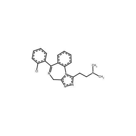 CN(C)CCc1nnc2n1-c1ccccc1C(c1ccccc1Cl)=NC2